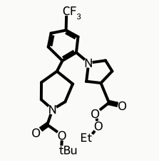 CCOOC(=O)C1CCN(c2cc(C(F)(F)F)ccc2C2CCN(C(=O)OC(C)(C)C)CC2)C1